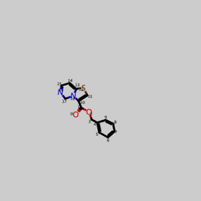 O=C(OCc1ccccc1)C1=CSC2=CC=NCN21